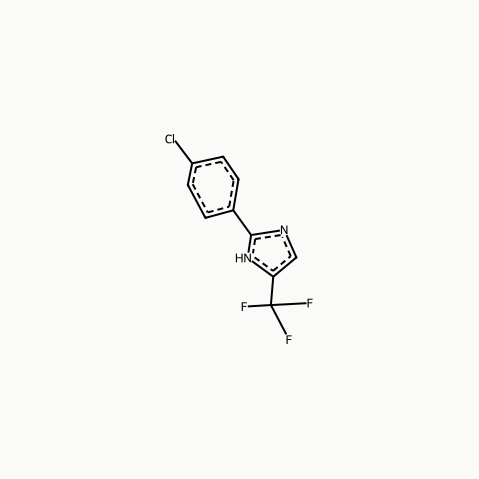 FC(F)(F)c1cnc(-c2ccc(Cl)cc2)[nH]1